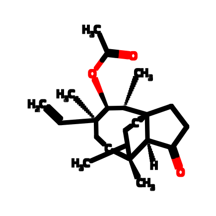 C=C[C@]1(C)CC[C@]2(C)C(C)CC[C@]3(CCC(=O)[C@H]32)[C@@H](C)[C@@H]1OC(C)=O